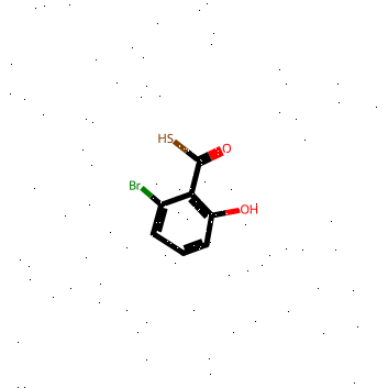 O=C(S)c1c(O)cccc1Br